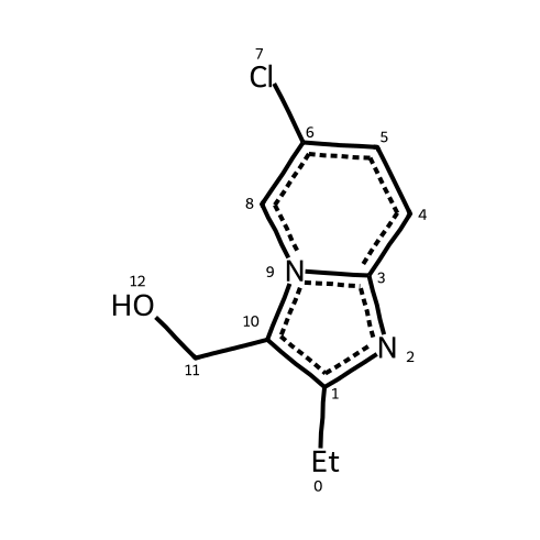 CCc1nc2ccc(Cl)cn2c1CO